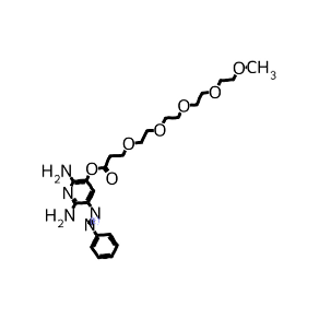 COCCOCCOCCOCCOCCC(=O)Oc1cc(/N=N/c2ccccc2)c(N)nc1N